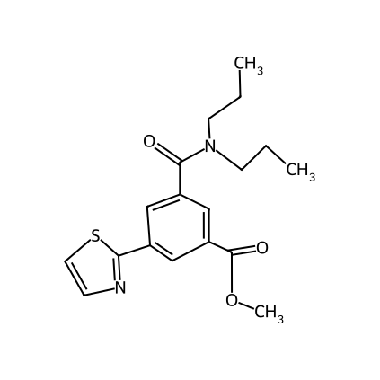 CCCN(CCC)C(=O)c1cc(C(=O)OC)cc(-c2nccs2)c1